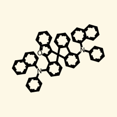 c1ccc(N(c2cccc3c2-c2ccccc2C32c3cccc(N(c4ccccc4)c4cccc5ccccc45)c3-c3oc4ccccc4c32)c2cccc3ccccc23)cc1